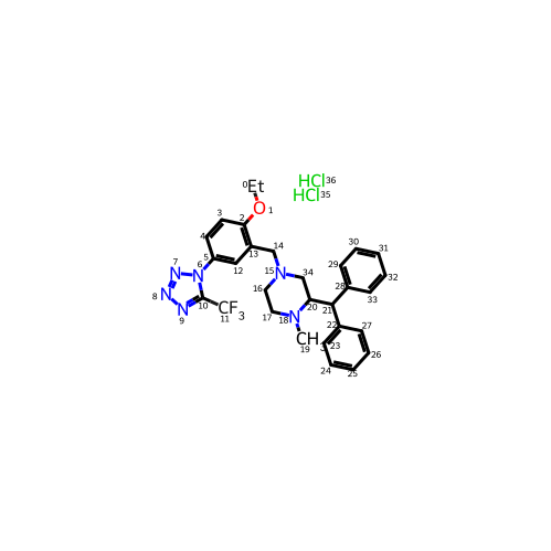 CCOc1ccc(-n2nnnc2C(F)(F)F)cc1CN1CCN(C)C(C(c2ccccc2)c2ccccc2)C1.Cl.Cl